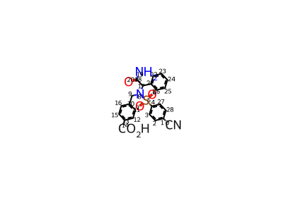 N#Cc1ccc(S(=O)(=O)N(Cc2ccc(C(=O)O)cc2)[C@@H](C(N)=O)c2ccccc2)cc1